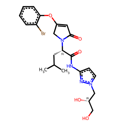 CC(C)C[C@@H](C(=O)Nc1ccn(C[C@@H](O)CO)n1)N1CC(Oc2ccccc2Br)=CC1=O